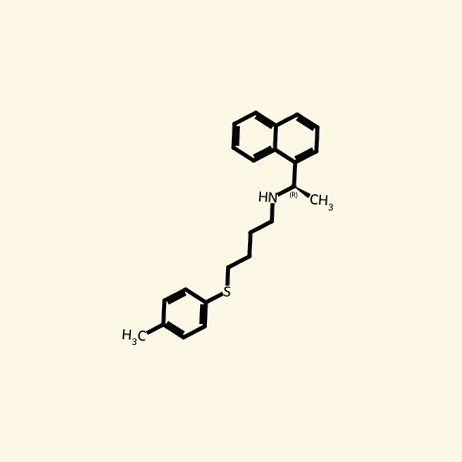 Cc1ccc(SCCCCN[C@H](C)c2cccc3ccccc23)cc1